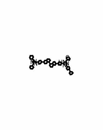 c1ccc(-c2ccc(C3=NC(c4ccccc4)NC(c4ccc(-c5ccc6c(-c7cccc8cc(-c9ccc(-c%10nc(-c%11ccccc%11)nc(-c%11ccccc%11)n%10)cc9)ccc78)cccc6c5)cc4)=N3)cc2)cc1